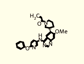 C=CC(=O)N1CCC[C@@H](c2cc3c(Nc4ccc(Oc5ccccc5)nc4)ncnc3cc2OC)C1